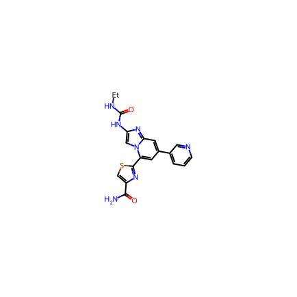 CCNC(=O)Nc1cn2c(-c3nc(C(N)=O)cs3)cc(-c3cccnc3)cc2n1